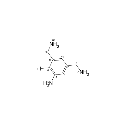 NCc1cc(N)c(I)c(CN)c1